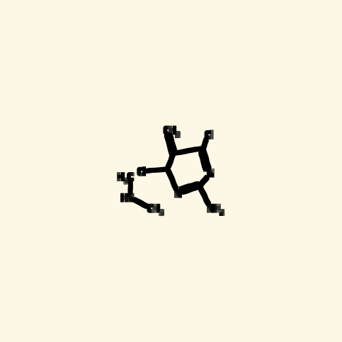 C=C1C(Cl)=NC(N)=NC1Cl.CNC